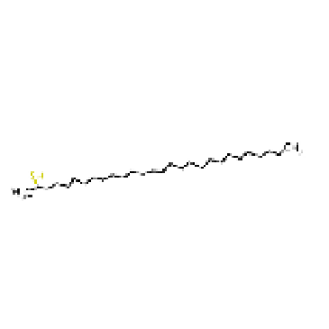 CCCCCCCCCCCCCCCCCCCCCCCCCCC(C)S